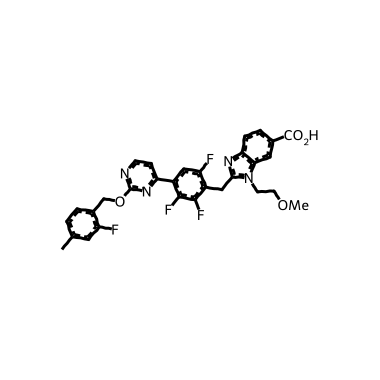 COCCn1c(Cc2c(F)cc(-c3ccnc(OCc4ccc(C)cc4F)n3)c(F)c2F)nc2ccc(C(=O)O)cc21